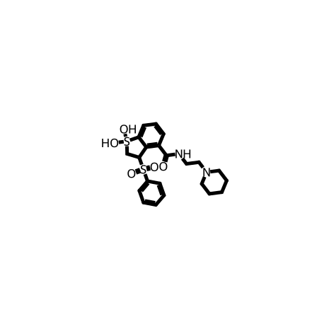 O=C(NCCN1CCCCC1)c1cccc2c1C(S(=O)(=O)c1ccccc1)CS2(O)O